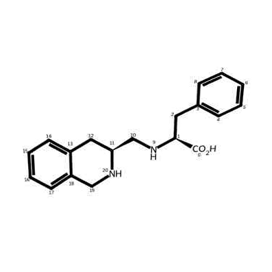 O=C(O)[C@H](Cc1ccccc1)NC[C@@H]1Cc2ccccc2CN1